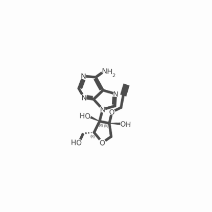 C#CCO[C@]1(O)CO[C@H](CO)[C@]1(O)n1cnc2c(N)ncnc21